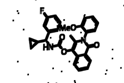 COc1ccccc1-n1c(C)c(OC(=O)N[C@H](c2cccc(F)c2)C2CC2)c2ccccc2c1=O